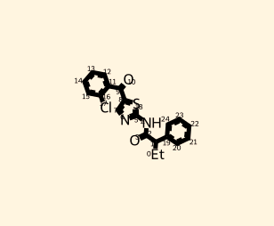 CCC(C(=O)Nc1ncc(C(=O)c2ccccc2Cl)s1)c1ccccc1